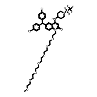 COCCOCCOCCOCCOCCOCCOCCn1c(=O)cc(NC2CCN(S(=O)(=O)C(F)(F)F)CC2)c2cc(C(c3ccc(Cl)cc3)c3ccc(Cl)cc3)ccc21